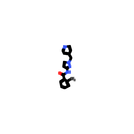 O=C(Nc1ccn(Cc2ccncc2)n1)c1ccccc1C(F)(F)F